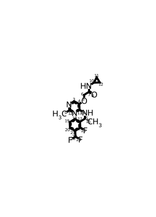 Cc1ncc(OCC(=O)NC2CC2)c(N[C@H](C)c2cccc(C(F)F)c2F)n1